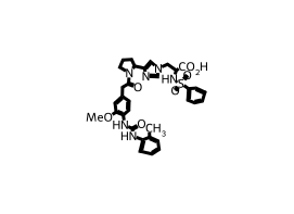 COc1cc(CC(=O)N2CCCC2c2cn(CC(NS(=O)(=O)c3ccccc3)C(=O)O)cn2)ccc1NC(=O)Nc1ccccc1C